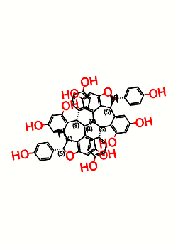 Oc1ccc([C@H]2c3c(O)cc(O)cc3[C@H]3c4c(cc(O)cc4[C@@H]2[C@H]2c4cc(O)cc5c4[C@H](c4cc(O)cc(O)c4[C@@H]2c2ccc(O)cc2)[C@@H](c2ccc(O)cc2)O5)O[C@@H]3c2ccc(O)cc2)cc1